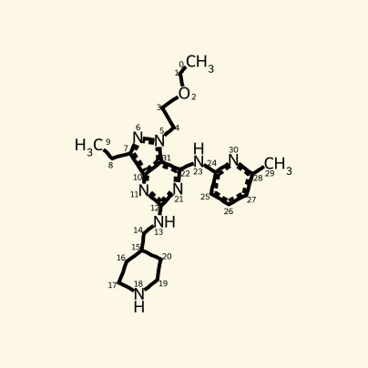 CCOCCn1nc(CC)c2nc(NCC3CCNCC3)nc(Nc3cccc(C)n3)c21